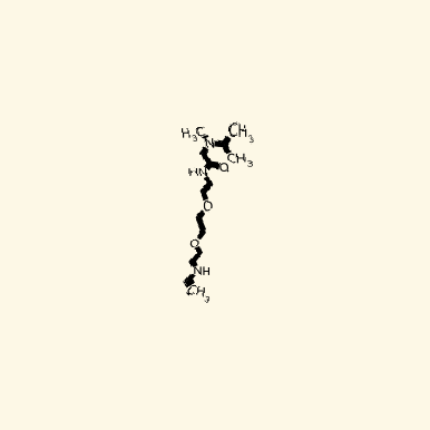 CCNCCOCCOCCNC(=O)CN(C)C(C)C